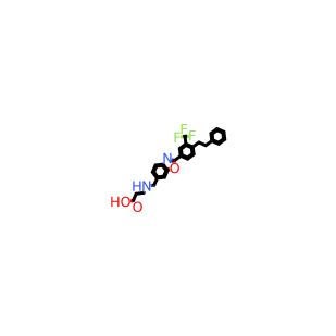 O=C(O)CCNCc1ccc2nc(-c3ccc(CCc4ccccc4)c(C(F)(F)F)c3)oc2c1